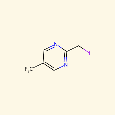 FC(F)(F)c1cnc(CI)nc1